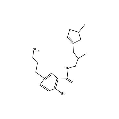 C=C(NCC(C)CC1=CCC(C)C1)c1cc(CCCN)ccc1CC